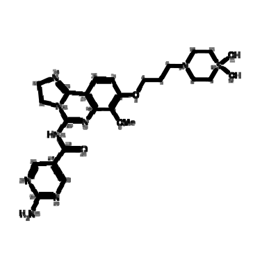 COc1c(OCCCN2CCS(O)(O)CC2)ccc2c1N=C(NC(=O)c1cnc(N)nc1)N1CCN=C21